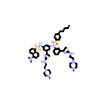 CCCCCc1ccc(S(=O)(=O)Nc2cccc(-c3csc(NCCN4CCN(C)CC4)n3)c2)cc1.CN1CCN(CCNc2nc(-c3cccc(NS(=O)(=O)c4cccc5c(N(C)C)cccc45)c3)cs2)CC1